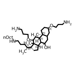 CCCCCCCCNCCC[C@@H](C)[C@H]1CC[C@H]2C3[C@H](O)CC4C[C@H](OCCCN)CC[C@]4(C)[C@H]3C[C@H](OCCCN)C12C